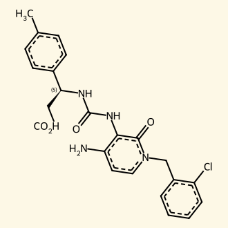 Cc1ccc([C@H](CC(=O)O)NC(=O)Nc2c(N)ccn(Cc3ccccc3Cl)c2=O)cc1